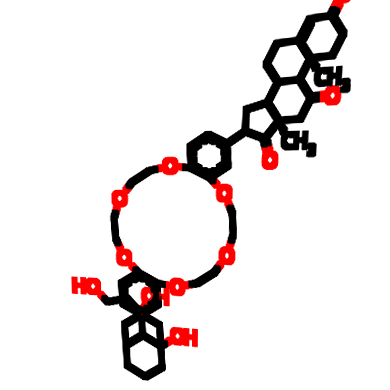 C[C@]12CCC(=O)C=C1CCC1C2C(=O)C[C@]2(C)C(=O)C(c3ccc4c(c3)OCCOCCOc3cc(C5C6CCCC5(O)CC(O)(CCO)C6)ccc3OCCOCCO4)CC12